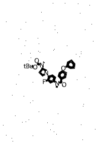 CN(C(=O)c1ccc(Oc2ccccc2)cc1)c1ccc(N2CCC(N(C)C(=O)OC(C)(C)C)C2)c(F)c1